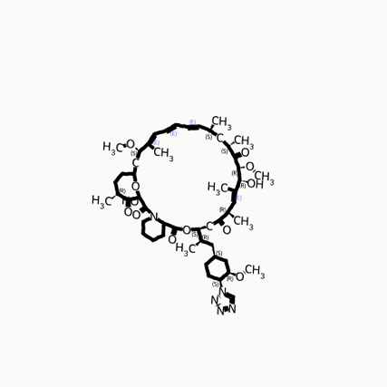 CO[C@H]1CC2CC[C@@H](C)C(=O)C(O)(O2)C(=O)N2CCCCC2C(=O)O[C@H]([C@H](C)C[C@@H]2CC[C@H](n3cnnn3)[C@H](OC)C2)CC(=O)[C@H](C)/C=C(\C)[C@@H](O)[C@@H](OC)C(=O)[C@@H](C)C[C@H](C)/C=C/C=C/C=C/1C